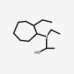 CCC1CCCCCC1N(CC)C(C)O